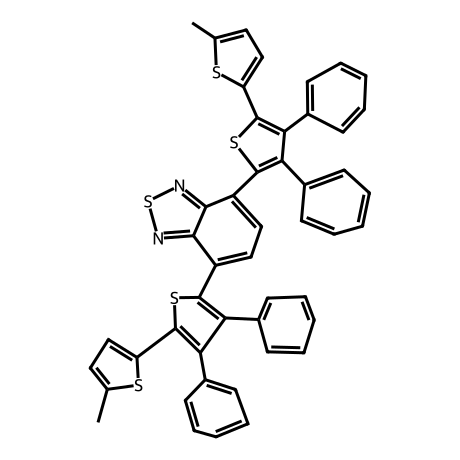 Cc1ccc(-c2sc(-c3ccc(-c4sc(-c5ccc(C)s5)c(-c5ccccc5)c4-c4ccccc4)c4nsnc34)c(-c3ccccc3)c2-c2ccccc2)s1